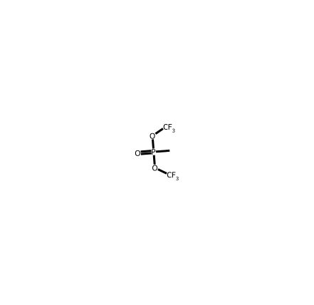 CP(=O)(OC(F)(F)F)OC(F)(F)F